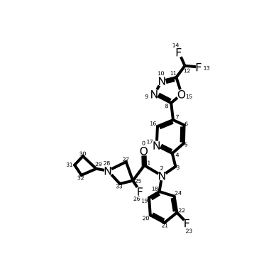 O=C(N(Cc1ccc(-c2nnc(C(F)F)o2)cn1)c1cccc(F)c1)C1(F)CN(C2CCC2)C1